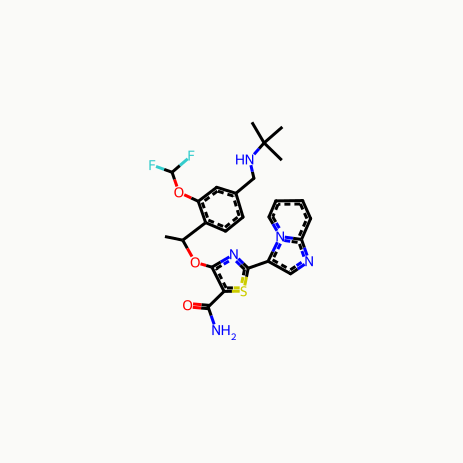 CC(Oc1nc(-c2cnc3ccccn23)sc1C(N)=O)c1ccc(CNC(C)(C)C)cc1OC(F)F